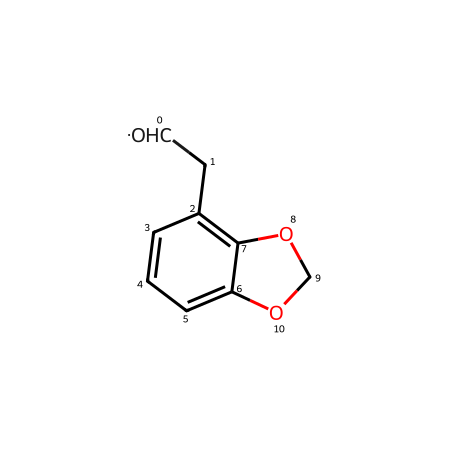 O=[C]Cc1cccc2c1OCO2